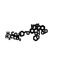 CC(C)(C)OC(=O)N1CCC(COc2cc(OC3CCCCO3)c3c(Nc4c(Cl)ccc5c4OCO5)ncnc3c2)CC1